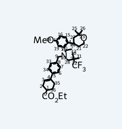 CCOC(=O)C1CC=C(c2ccc(CN(CC[C@@]3(c4ccc(OC)cc4)CCOC(C)(C)C3)CC(C)(C)C(F)(F)F)cc2)CC1